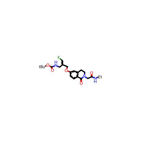 CCNC(=O)CN1CCc2cc(OC/C(=C/F)CNC(=O)OC(C)(C)C)ccc2C1=O